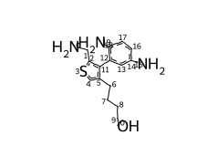 NCc1scc(CCCCO)c1-c1cc(N)ccc1N